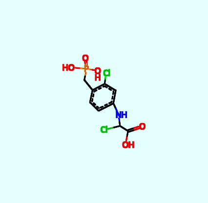 O=C(O)C(Cl)Nc1ccc(CP(=O)(O)O)c(Cl)c1